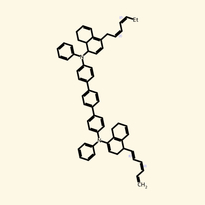 C=C/C=C\C=C\C1CC=C(N(c2ccccc2)c2ccc(-c3ccc(-c4ccc(N(c5ccccc5)C5C=CC(C/C=C\C=C/CC)=C6C=CCCC65)cc4)cc3)cc2)C2=C1C=CCC2